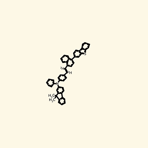 [2H]/C(=C(/[2H])c1ccc(-c2ccc3c(c2)sc2ccccc23)c2ccccc12)c1ccc(N(c2ccccc2)c2ccc3c(c2)C(C)(C)c2ccccc2-3)cc1